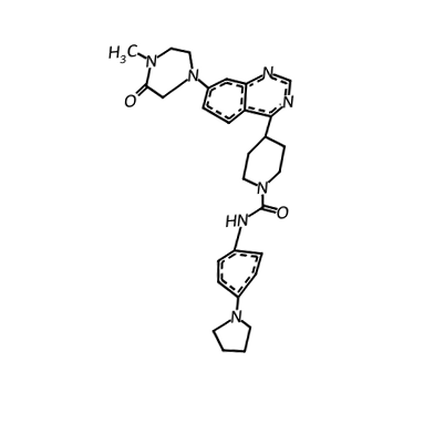 CN1CCN(c2ccc3c(C4CCN(C(=O)Nc5ccc(N6CCCC6)cc5)CC4)ncnc3c2)CC1=O